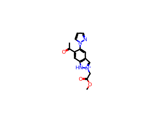 COC(=O)C[n+]1cc2cc(-n3cccn3)c(C(C)=O)cc2[nH]1